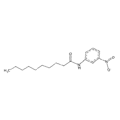 CCCCCCCCCC(=O)Nc1cccc([N+](=O)[O-])c1